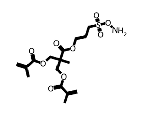 C=C(C)C(=O)OCC(C)(COC(=O)C(=C)C)C(=O)OCCCS(=O)(=O)ON